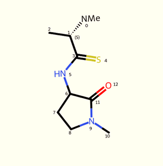 CN[C@@H](C)C(=S)NC1CCN(C)C1=O